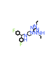 C=CCNc1nc(N2CCC(NCC(c3ccc(F)cc3)c3ccc(F)cc3)CC2)c2ncn(CC=C)c2n1